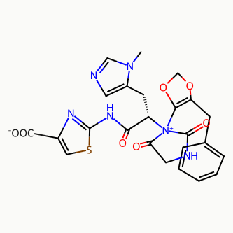 Cn1cncc1C[C@@H](C(=O)Nc1nc(C(=O)[O-])cs1)[N+]1(C2=C(Cc3ccccc3)OCO2)C(=O)CNC1=O